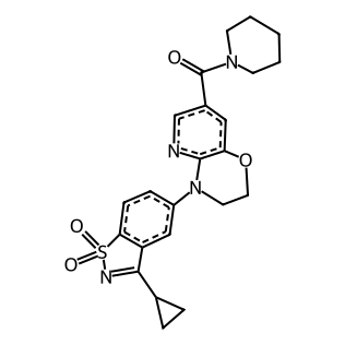 O=C(c1cnc2c(c1)OCCN2c1ccc2c(c1)C(C1CC1)=NS2(=O)=O)N1CCCCC1